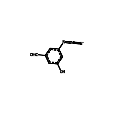 [N-]=[N+]=Nc1cc(O)cc(C=O)c1